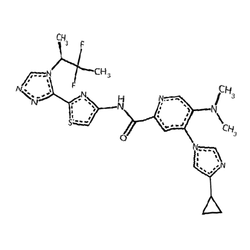 C[C@H](n1cnnc1-c1nc(NC(=O)c2cc(-n3cnc(C4CC4)c3)c(N(C)C)cn2)cs1)C(C)(F)F